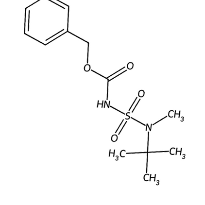 CN(C(C)(C)C)S(=O)(=O)NC(=O)OCc1ccccc1